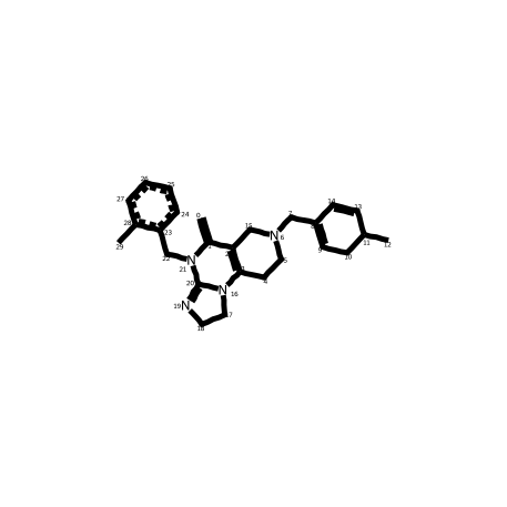 C=C1C2=C(CCN(CC3=CCC(C)C=C3)C2)N2CCN=C2N1Cc1ccccc1C